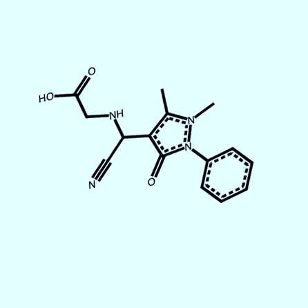 Cc1c(C(C#N)NCC(=O)O)c(=O)n(-c2ccccc2)n1C